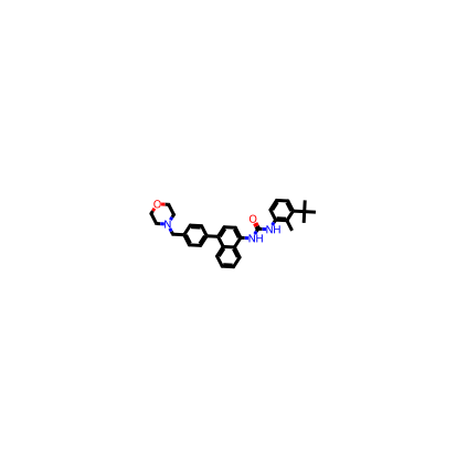 Cc1c(NC(=O)Nc2ccc(-c3ccc(CN4CCOCC4)cc3)c3ccccc23)cccc1C(C)(C)C